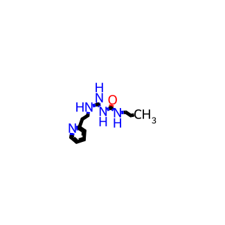 CCCNC(=O)NC(=N)NCCc1ccccn1